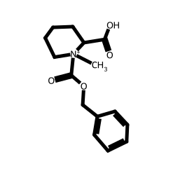 C[N+]1(C(=O)OCc2ccccc2)CCCCC1C(=O)O